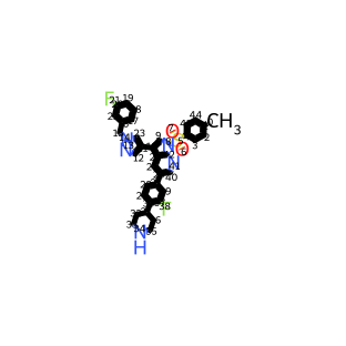 Cc1ccc(S(=O)(=O)n2cc(-c3cnn(Cc4cccc(F)c4)c3)c3cc(-c4ccc(C5CCNCC5)c(F)c4)cnc32)cc1